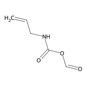 C=CCNC(=O)OC=O